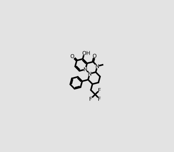 CN1C(=O)c2c(O)c(=O)ccn2N2C(c3ccccc3)C(CC(F)(F)F)CCC12